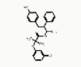 CC(NC(=O)C(C)(C)Oc1cccc(Cl)c1)C(Cc1ccc(C#N)cc1)c1ccccc1